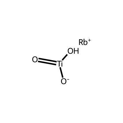 [O]=[Ti]([O-])[OH].[Rb+]